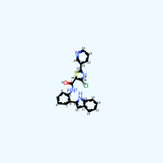 O=C(Nc1ccccc1-c1cc2ccccc2[nH]1)c1sc(-c2cccnc2)nc1Cl